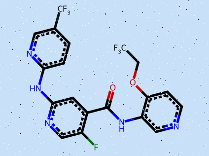 O=C(Nc1cnccc1OCC(F)(F)F)c1cc(Nc2ccc(C(F)(F)F)cn2)ncc1F